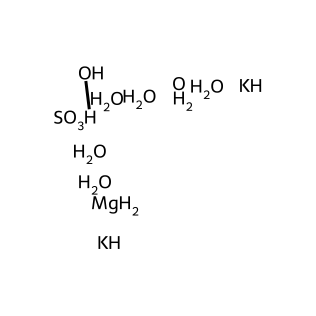 O.O.O.O.O.O.O=S(=O)(O)O.[KH].[KH].[MgH2]